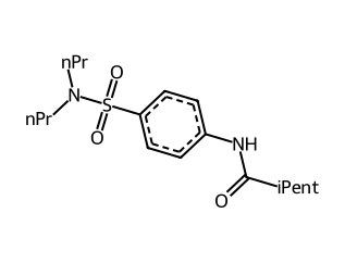 CCCC(C)C(=O)Nc1ccc(S(=O)(=O)N(CCC)CCC)cc1